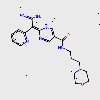 N=C(N)/C(=C1/N=CC(C(=O)NCCCN2CCOCC2)=CN1)c1ccccn1